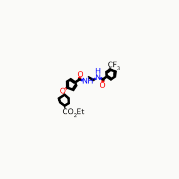 CCOC(=O)[C@H]1CC[C@@H](Oc2ccc(C(=O)NCCNC(=O)c3cccc(C(F)(F)F)c3)cc2)CC1